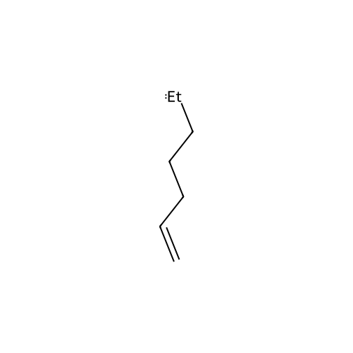 C=CCCC[C]C